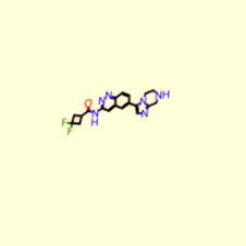 O=C(Nc1cc2cc(-c3cnc4n3CCNC4)ccc2nn1)C1CC(F)(F)C1